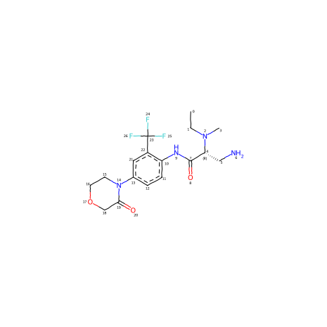 CCN(C)[C@H](CN)C(=O)Nc1ccc(N2CCOCC2=O)cc1C(F)(F)F